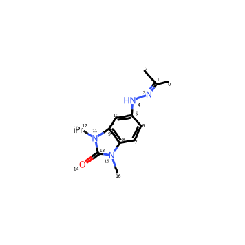 CC(C)=NNc1ccc2c(c1)n(C(C)C)c(=O)n2C